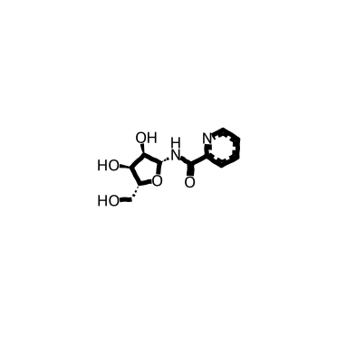 O=C(N[C@@H]1O[C@H](CO)[C@@H](O)[C@H]1O)c1ccccn1